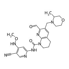 CONc1cc(NC(=O)N2CCCc3cc(CN4CCOCC4C)c(C=O)nc32)ncc1C#N